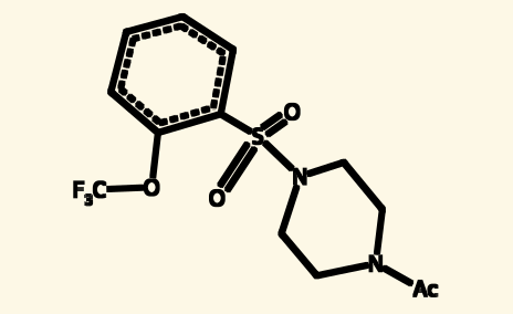 CC(=O)N1CCN(S(=O)(=O)c2ccccc2OC(F)(F)F)CC1